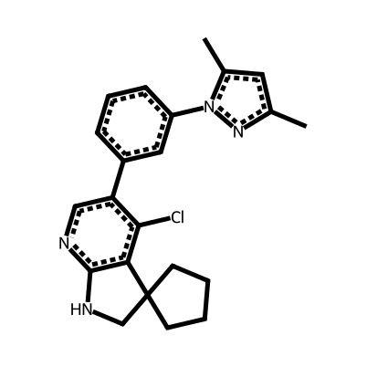 Cc1cc(C)n(-c2cccc(-c3cnc4c(c3Cl)C3(CCCC3)CN4)c2)n1